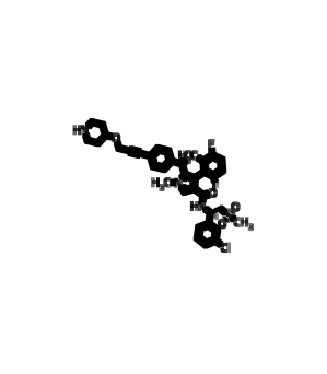 Cc1c(F)ccc(F)c1-c1c(C(=O)N[C@@H](CS(C)(=O)=O)c2cccc(Cl)c2)cn(C)c1C(=O)c1ccc(C#CCOC2CCNCC2)cc1